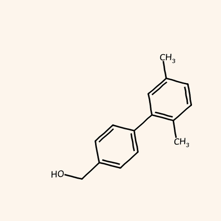 Cc1ccc(C)c(-c2ccc(CO)cc2)c1